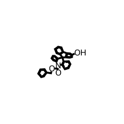 O=C(OCc1ccccc1)N1c2ccccc2C2(c3ccccc3-c3cc(O)ccc32)c2ccccc21